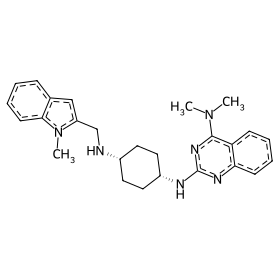 CN(C)c1nc(N[C@H]2CC[C@@H](NCc3cc4ccccc4n3C)CC2)nc2ccccc12